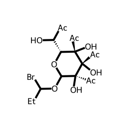 CCC(Br)OC1O[C@H](C(O)C(C)=O)[C@@](O)(C(C)=O)[C@@](O)(C(C)=O)[C@]1(O)C(C)=O